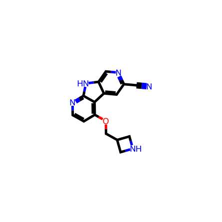 N#Cc1cc2c(cn1)[nH]c1nccc(OCC3CNC3)c12